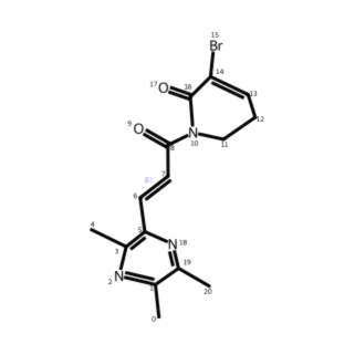 Cc1nc(C)c(/C=C/C(=O)N2CCC=C(Br)C2=O)nc1C